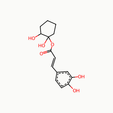 O=C(C=Cc1ccc(O)c(O)c1)OC1(O)CCCCC1O